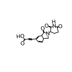 O=C(O)C#CC1=CC2C(=O)N(C3CCC(=O)NC3=O)CC2C=C1